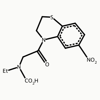 CCN(CC(=O)N1CCSc2ccc([N+](=O)[O-])cc21)C(=O)O